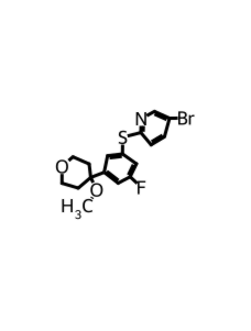 COC1(c2cc(F)cc(Sc3ccc(Br)cn3)c2)CCOCC1